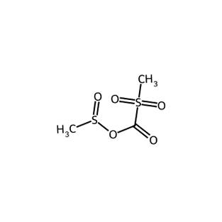 CS(=O)OC(=O)S(C)(=O)=O